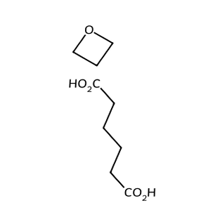 C1COC1.O=C(O)CCCCC(=O)O